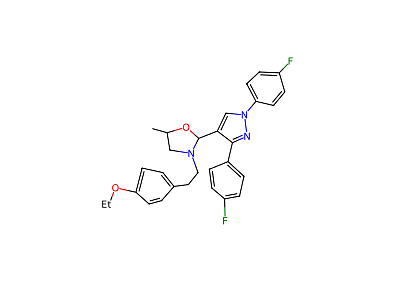 CCOc1ccc(CCN2CC(C)OC2c2cn(-c3ccc(F)cc3)nc2-c2ccc(F)cc2)cc1